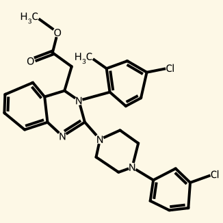 COC(=O)CC1c2ccccc2N=C(N2CCN(c3cccc(Cl)c3)CC2)N1c1ccc(Cl)cc1C